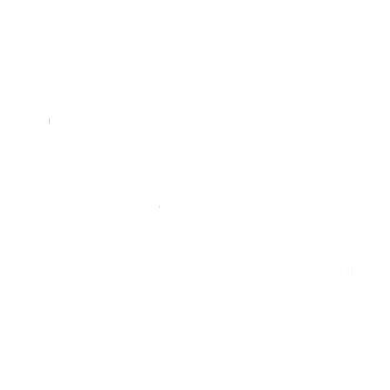 CC(C)CCCOc1ccc(CO)cc1